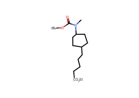 CCOC(=O)CCCCC1CCC(N(C)C(=O)OC(C)(C)C)CC1